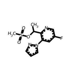 CC(OS(C)(=O)=O)c1ncc(F)cc1-n1cccn1